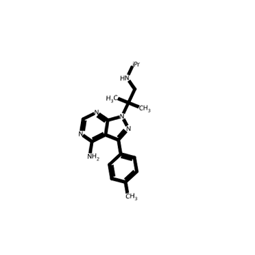 Cc1ccc(-c2nn(C(C)(C)CNC(C)C)c3ncnc(N)c23)cc1